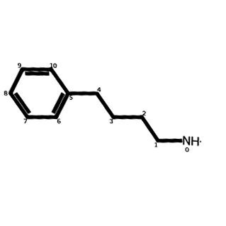 [NH]CCCCc1ccccc1